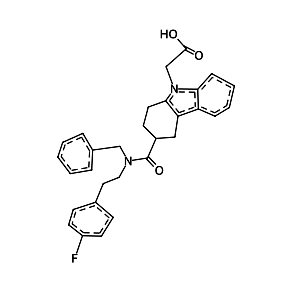 O=C(O)Cn1c2c(c3ccccc31)CC(C(=O)N(CCc1ccc(F)cc1)Cc1ccccc1)CC2